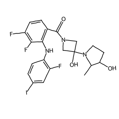 CC1C(O)CCN1C1(O)CN(C(=O)c2ccc(F)c(F)c2Nc2ccc(I)cc2F)C1